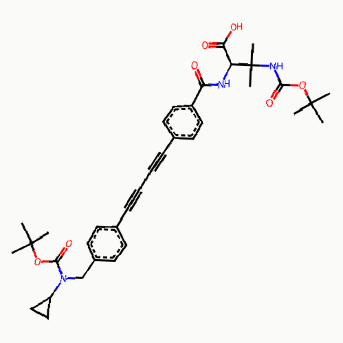 CC(C)(C)OC(=O)NC(C)(C)C(NC(=O)c1ccc(C#CC#Cc2ccc(CN(C(=O)OC(C)(C)C)C3CC3)cc2)cc1)C(=O)O